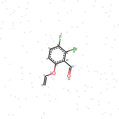 C=COc1ccc(F)c(Br)c1C=O